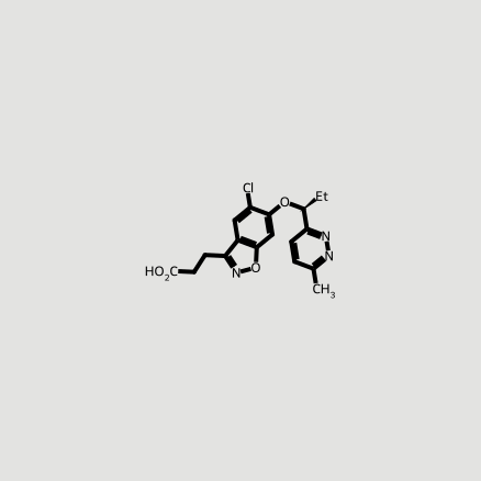 CC[C@H](Oc1cc2onc(CCC(=O)O)c2cc1Cl)c1ccc(C)nn1